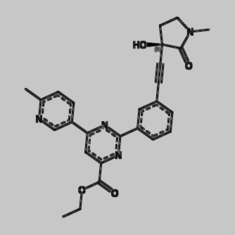 CCOC(=O)c1cc(-c2ccc(C)nc2)nc(-c2cccc(C#C[C@]3(O)CCN(C)C3=O)c2)n1